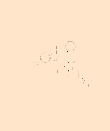 CCOc1ccc2[nH]c3c(c2c1)C[C@@]1(C)C(=O)N(CCNC)C(=O)N1[C@@H]3c1ccccc1